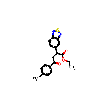 CCOC(=O)C(CC(=O)c1ccc(C)cc1)c1ccc2nsnc2c1